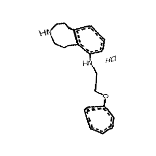 Cl.c1ccc(OCCNc2cccc3c2CCNCC3)cc1